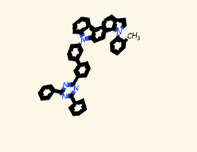 Cc1ccccc1-n1ccc2ccc3c(ccc4c3c3ccccc3n4-c3cccc(-c4cccc(-c5nc(-c6ccccc6)nc(-c6ccccc6)n5)c4)c3)c21